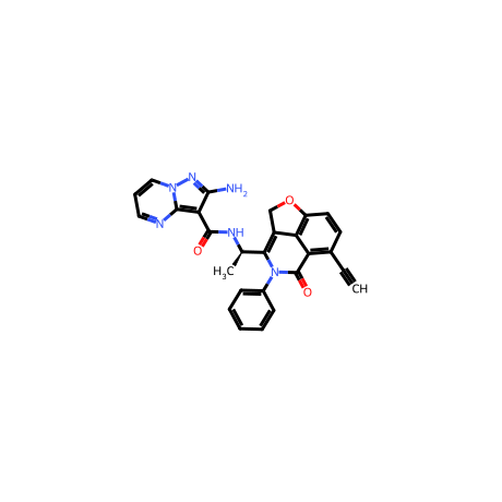 C#Cc1ccc2c3c(c([C@@H](C)NC(=O)c4c(N)nn5cccnc45)n(-c4ccccc4)c(=O)c13)CO2